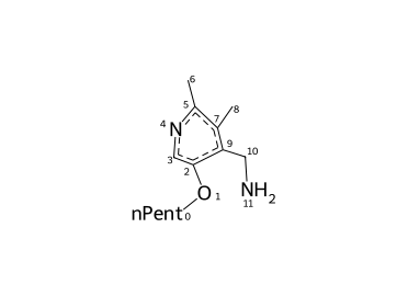 CCCCCOc1cnc(C)c(C)c1CN